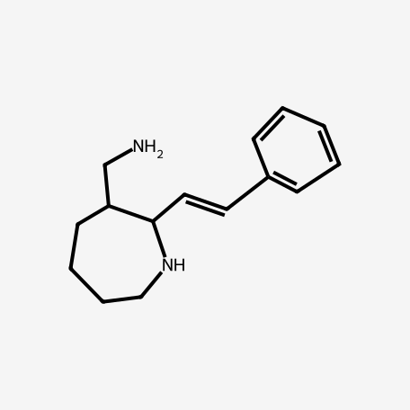 NCC1CCCCNC1/C=C/c1ccccc1